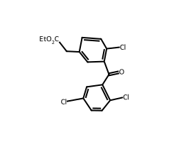 CCOC(=O)Cc1ccc(Cl)c(C(=O)c2cc(Cl)ccc2Cl)c1